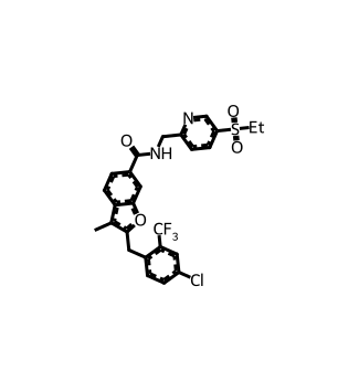 CCS(=O)(=O)c1ccc(CNC(=O)c2ccc3c(C)c(Cc4ccc(Cl)cc4C(F)(F)F)oc3c2)nc1